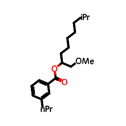 CCCc1cccc(C(=O)OC(CCCCCC(C)C)COC)c1